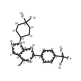 Cc1nc(-c2ccc(C(F)(F)F)cc2)nc2c1cnn2C1CCC(F)(F)CC1